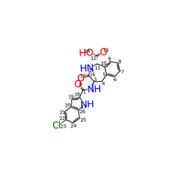 O=C(N[C@@H]1Cc2ccccc2[C@@H](C(=O)O)NC1=O)c1cc2cc(Cl)ccc2[nH]1